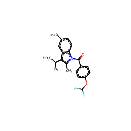 CCCC(C(=O)O)c1c(C)n(C(=O)c2ccc(OC(F)F)cc2)c2ccc(OC)cc12